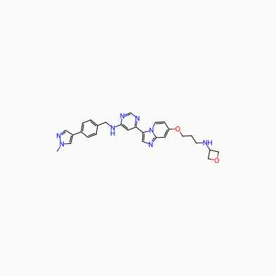 Cn1cc(-c2ccc(CNc3cc(-c4cnc5cc(OCCCNC6COC6)ccn45)ncn3)cc2)cn1